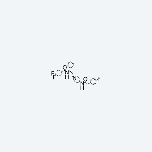 O=C(Cc1ccc(F)cc1)NC1CCN(CCC(NC(=O)C2CCC(F)(F)CC2)c2ccccc2)CC1